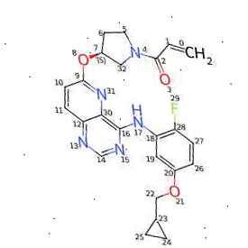 C=CC(=O)N1CC[C@H](Oc2ccc3ncnc(Nc4cc(OCC5CC5)ccc4F)c3n2)C1